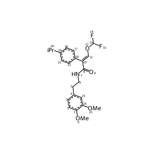 COc1ccc(CCNC(=O)C(=COC(F)F)c2ccc(C(C)C)cc2)cc1OC